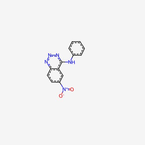 O=[N+]([O-])c1ccc2nnnc(Nc3ccccc3)c2c1